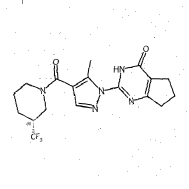 Cc1c(C(=O)N2CCC[C@@H](C(F)(F)F)C2)cnn1-c1nc2c(c(=O)[nH]1)CCC2